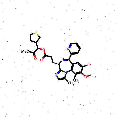 COC(=O)C(OC(=O)CC[C@@H]1N=C(c2ccccn2)c2cc(Br)c(OC(F)(F)F)c(C)c2-n2c(C)cnc21)C1CCSC1